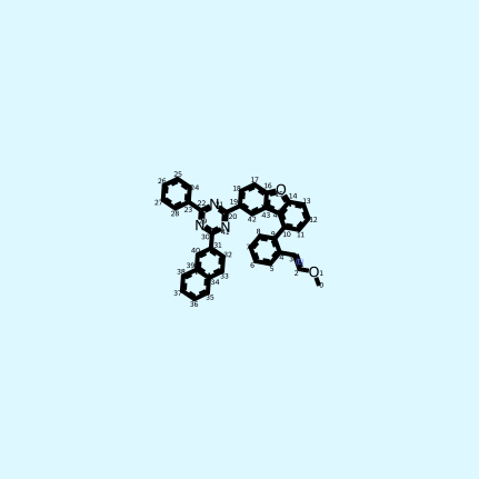 CO/C=C/c1ccccc1-c1cccc2oc3ccc(-c4nc(-c5ccccc5)nc(-c5ccc6ccccc6c5)n4)cc3c12